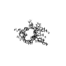 C=CC(C)(C)n1cc(C[C@@H]2NC(=O)[C@H](CC3CCCC3)NC(=O)[C@H](CC(C)C)N3CC/C=C\C[C@@H](C3=O)N(C)C(=O)[C@H](C)NC(=O)[C@H](Cc3ccc4cnc(OCF)nc4c3)NC(=O)[C@H](CC(C)C)N(C)C2=O)c2ccccc21